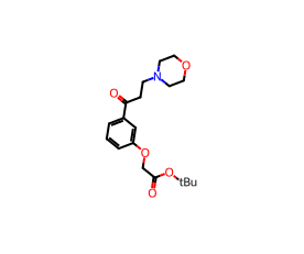 CC(C)(C)OC(=O)COc1cccc(C(=O)CCN2CCOCC2)c1